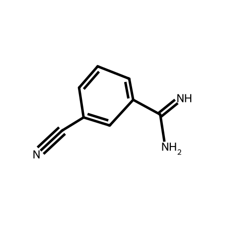 N#Cc1cccc(C(=N)N)c1